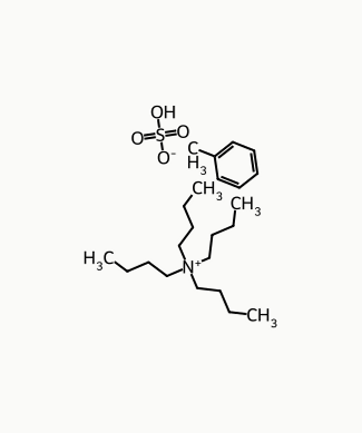 CCCC[N+](CCCC)(CCCC)CCCC.Cc1ccccc1.O=S(=O)([O-])O